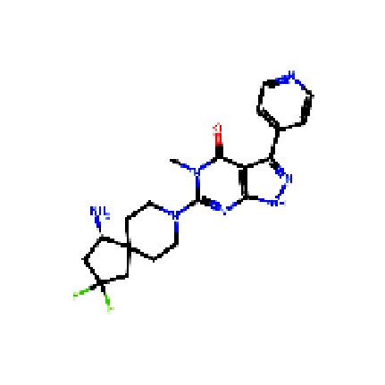 Cn1c(N2CCC3(CC2)CC(F)(F)C[C@H]3N)nc2[nH]nc(-c3ccncc3)c2c1=O